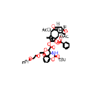 CCCOCCOCC(=O)O[C@@H](C(=O)OC1C[C@@]2(O)[C@@H](OC(=O)c3ccccc3)[C@@H]3[C@]4(OC(C)=O)CO[C@@H]4C[C@@H]4C[C@@]43C(=O)[C@H](OC(C)=O)C(=C1C)C2(C)C)[C@@H](NC(=O)OC(C)(C)C)c1ccccc1